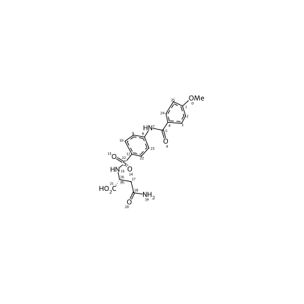 COc1ccc(C(=O)Nc2ccc(S(=O)(=O)N[C@H](CC(N)=O)C(=O)O)cc2)cc1